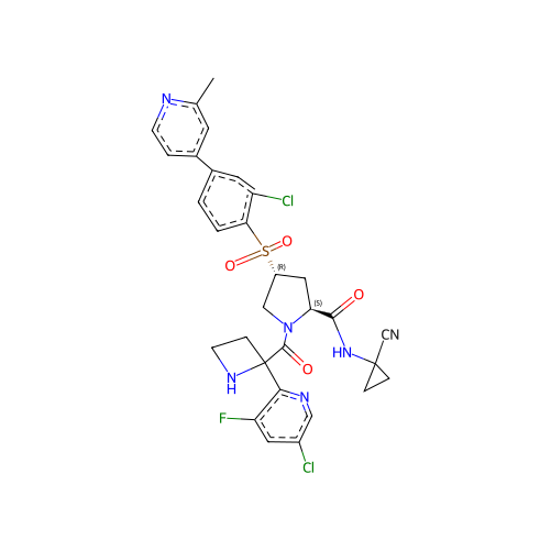 Cc1cc(-c2ccc(S(=O)(=O)[C@@H]3C[C@@H](C(=O)NC4(C#N)CC4)N(C(=O)C4(c5ncc(Cl)cc5F)CCN4)C3)c(Cl)c2)ccn1